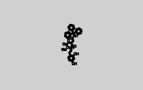 CC(C)(C)OC(=O)NC(CC(=O)NC(c1ccccc1)(c1ccccc1)c1ccccc1)C(=O)NCCc1ccc(O)cc1O